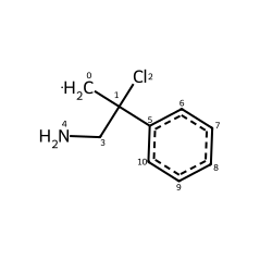 [CH2]C(Cl)(CN)c1ccccc1